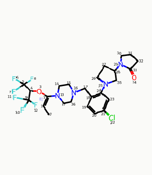 C/C=C(/OC(C(F)(F)F)C(F)(F)F)N1CCN(Cc2ccc(Cl)cc2N2CCC(N3CCCC3=O)C2)CC1